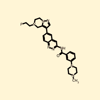 CN1CCN(c2cccc(C(=O)Nc3cc4cc(-c5cnn6c5CN(CCF)CC6)ccc4nn3)c2)CC1